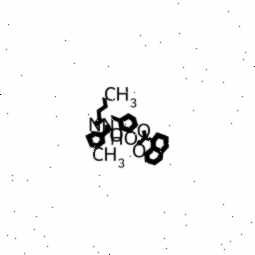 CCCCc1nc2ccc(C)cc2c(=O)n1Cc1ccc(OC(C(=O)O)c2cccc3ccccc23)cc1